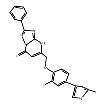 Cc1nc(-c2ccc(OCc3cc(=O)n4nc(-c5ccccc5)nc4[nH]3)c(F)c2)cs1